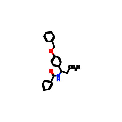 O=C(O)CC(NC(=O)c1ccccc1)c1ccc(OCc2ccccc2)cc1